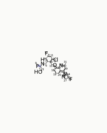 C/P=C(/CO)NCc1cc(F)cc(Cl)c1COc1cccc2c(-n3cc(F)cn3)cc(C)nc12